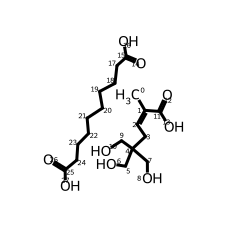 CC(=CCC(CO)(CO)CO)C(=O)O.O=C(O)CCCCCCCCC(=O)O